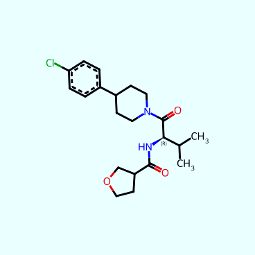 CC(C)[C@@H](NC(=O)C1CCOC1)C(=O)N1CCC(c2ccc(Cl)cc2)CC1